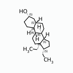 CC[C@H]1CC[C@H]2[C@@H]3CC[C@H]4C[C@@H](O)CC[C@@H]4[C@H]3CC[C@]12CC